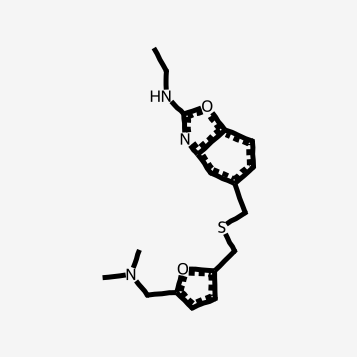 CCNc1nc2cc(CSCc3ccc(CN(C)C)o3)ccc2o1